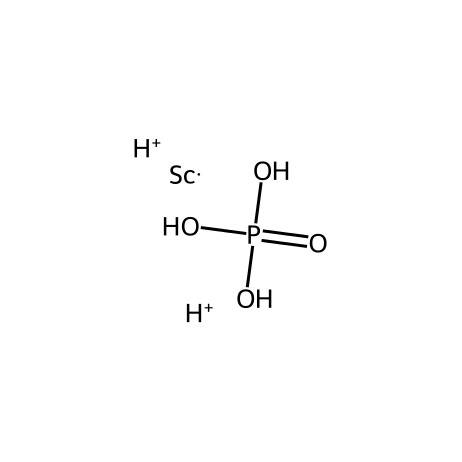 O=P(O)(O)O.[H+].[H+].[Sc]